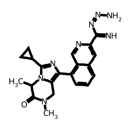 CC1C(=O)N(C)Cc2c(-c3cccc4cc(C(=N)/N=N\N)ncc34)nc(C3CC3)n21